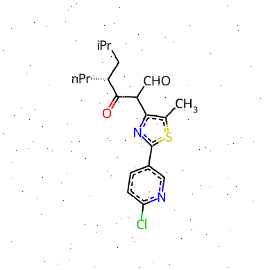 CCC[C@H](CC(C)C)C(=O)C(C=O)c1nc(-c2ccc(Cl)nc2)sc1C